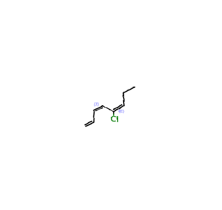 C=C/C=C\C(Cl)=C/CC